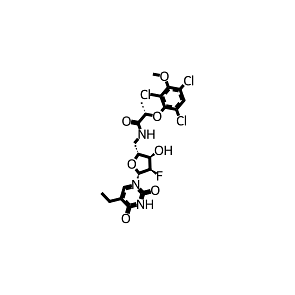 CCc1cn([C@@H]2O[C@H](CNC(=O)[C@H](C)Oc3c(Cl)cc(Cl)c(OC)c3Cl)[C@@H](O)[C@H]2F)c(=O)[nH]c1=O